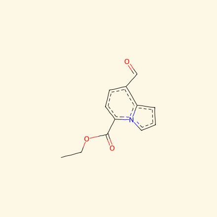 CCOC(=O)c1ccc(C=O)c2cccn12